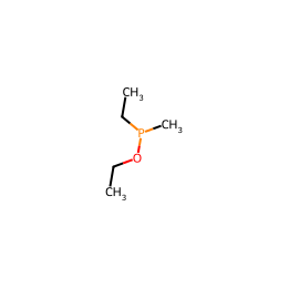 CCOP(C)CC